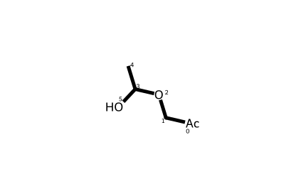 CC(=O)COC(C)O